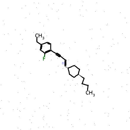 CCCC[C@H]1CC[C@H](/C=C/C#Cc2ccc(CC)cc2F)CC1